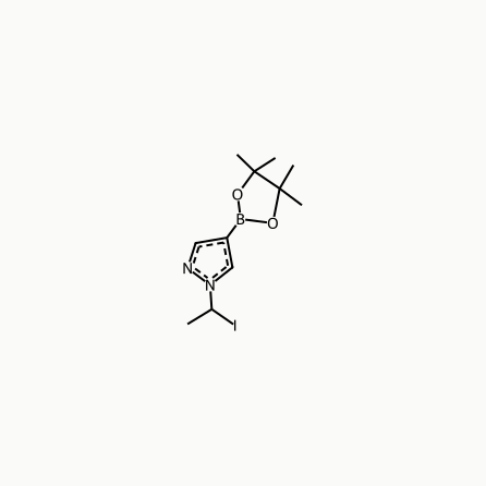 CC(I)n1cc(B2OC(C)(C)C(C)(C)O2)cn1